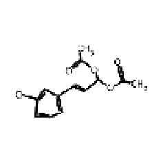 CC(=O)OC(C=Cc1cccc(Cl)c1)OC(C)=O